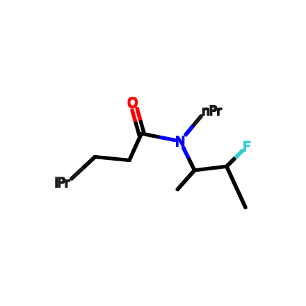 CCCN(C(=O)CCC(C)C)C(C)C(C)F